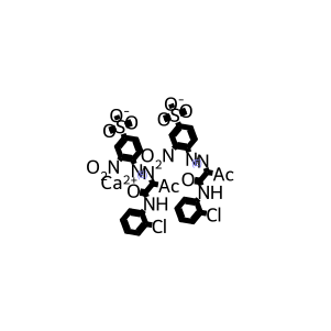 CC(=O)C(/N=N/c1ccc(S(=O)(=O)[O-])cc1[N+](=O)[O-])C(=O)Nc1ccccc1Cl.CC(=O)C(/N=N/c1ccc(S(=O)(=O)[O-])cc1[N+](=O)[O-])C(=O)Nc1ccccc1Cl.[Ca+2]